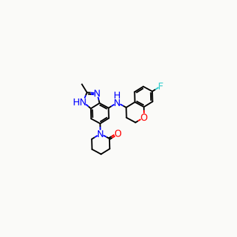 Cc1nc2c(NC3CCOc4cc(F)ccc43)cc(N3CCCCC3=O)cc2[nH]1